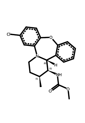 COC(=O)N[C@@H]1[C@H]2c3ccccc3Oc3ccc(Cl)cc3N2CC[C@@H]1C